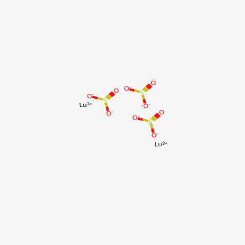 O=S([O-])[O-].O=S([O-])[O-].O=S([O-])[O-].[Lu+3].[Lu+3]